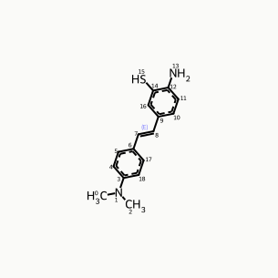 CN(C)c1ccc(/C=C/c2ccc(N)c(S)c2)cc1